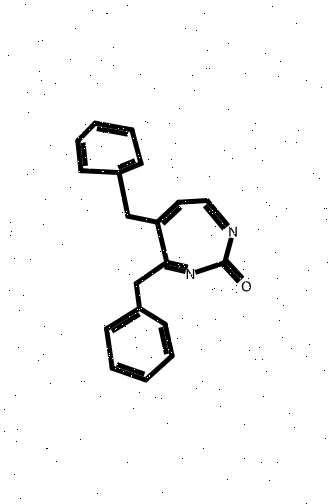 O=c1nccc(Cc2ccccc2)c(Cc2ccccc2)n1